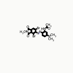 CC(=O)Nc1cc(N(C)C)ccc1/N=N/c1c(Br)cc2c(c1Br)C(=O)N(C)C2=O